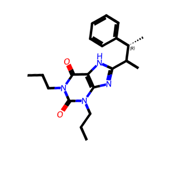 CCCn1c(=O)c2[nH]c(C(C)[C@@H](C)c3ccccc3)nc2n(CCC)c1=O